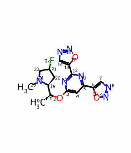 C[C@H](Oc1cc(-c2cnno2)nc(-c2cnno2)n1)[C@@H]1C[C@H](F)CN1C